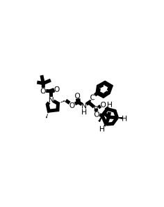 C[C@H]1C[C@@H](COC(=O)N[C@@H](Cc2ccccc2)B2O[C@@H]3C[C@@H]4C[C@@H](C4(C)C)[C@]3(C)O2)N(C(=O)OC(C)(C)C)C1